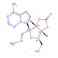 CN=C[C@@]1(c2ccc3c(N)ncnn23)O[C@H](CO)[C@H]2OC(=O)O[C@H]21